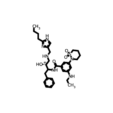 CCCCc1nc(CNC[C@@H](O)C(Cc2ccccc2)NC(=O)c2cc(NCC)cc(N3CCCCS3(=O)=O)c2)c[nH]1